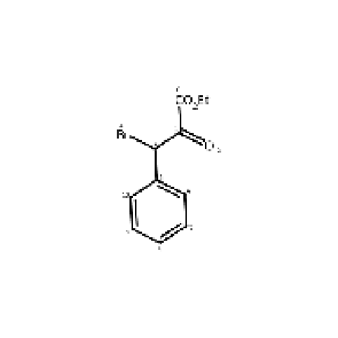 CCOC(=O)C(=O)C(Br)c1ccccc1